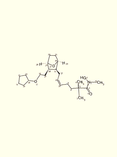 CN(O)C(=O)C(C)(C)CC/C=C\C[C@H]1[C@@H](CCOC2CCCC2)[C@H]2CC[C@@H]1O2